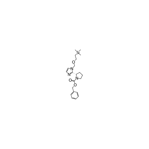 C[Si](C)(C)CCOCn1ccnc1[C@@H]1CCCN1C(=O)OCc1ccccc1